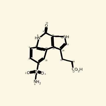 NS(=O)(=O)c1ccc2[nH]c(=O)c3[nH]cc(CCC(=O)O)c3c2c1